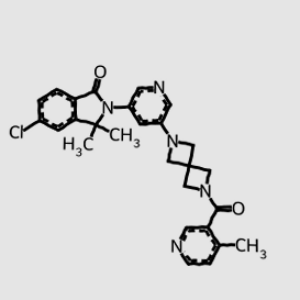 Cc1ccncc1C(=O)N1CC2(C1)CN(c1cncc(N3C(=O)c4ccc(Cl)cc4C3(C)C)c1)C2